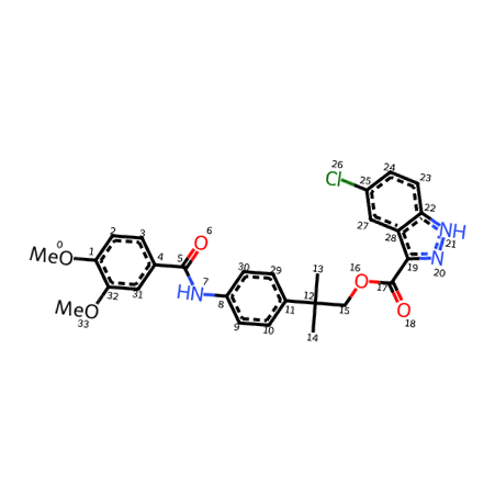 COc1ccc(C(=O)Nc2ccc(C(C)(C)COC(=O)c3n[nH]c4ccc(Cl)cc34)cc2)cc1OC